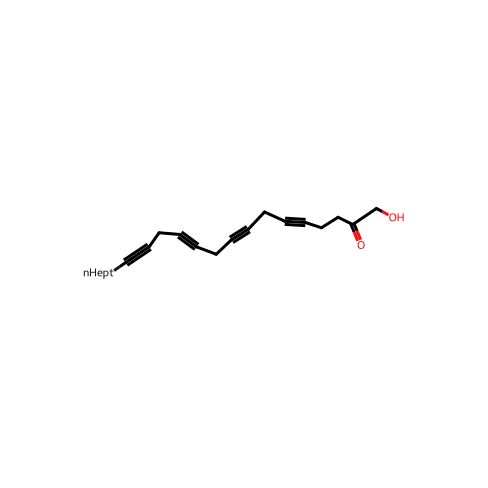 CCCCCCCC#CCC#CCC#CCC#CCCC(=O)CO